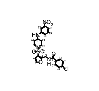 O=C(NCc1occc1S(=O)(=O)N1CCC(Nc2cccc([N+](=O)[O-])c2)CC1)c1ccc(Cl)cc1